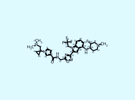 CN(C)CC1(n2ccc(C(=O)NCc3nc(-c4cc5c(N[C@@H]6CCN(C)C[C@@H]6F)cccc5n4CC(F)(F)F)no3)c2)CC1